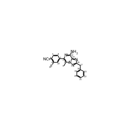 Cc1c(-c2ccc(C#N)c(F)c2)nc(N)c2nc(Cc3ccccc3)nn12